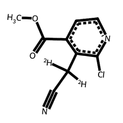 [2H]C([2H])(C#N)c1c(C(=O)OC)ccnc1Cl